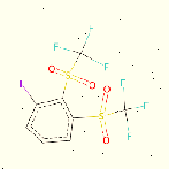 O=S(=O)(c1cccc(I)c1S(=O)(=O)C(F)(F)F)C(F)(F)F